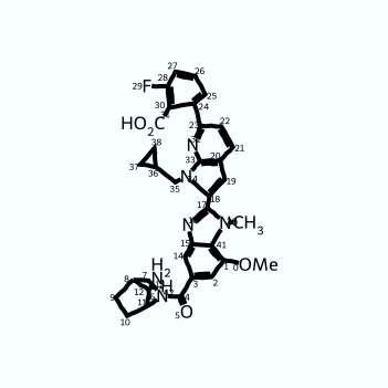 COc1cc(C(=O)N2CC3CCC2[C@@H]3N)cc2nc(-c3cc4ccc(-c5cccc(F)c5C(=O)O)nc4n3CC3CC3)n(C)c12